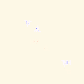 O=C1CCc2cc(OC[C@@H](O)CN3CCN(c4ccccc4)CC3)ccc2N1